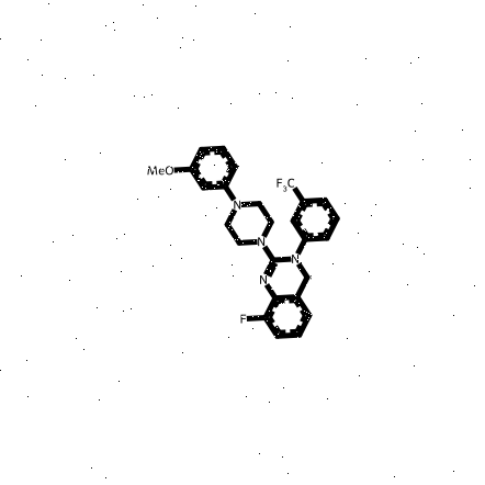 COc1cccc(N2CCN(C3=Nc4c(F)cccc4[C]N3c3cccc(C(F)(F)F)c3)CC2)c1